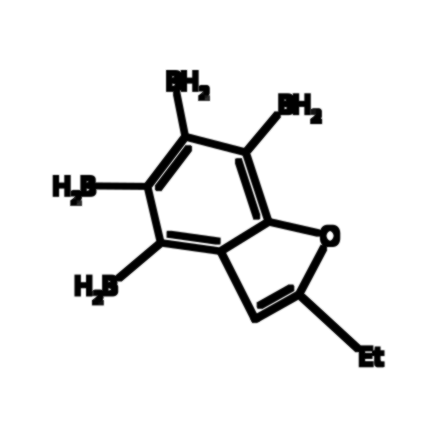 Bc1c(B)c(B)c2oc(CC)cc2c1B